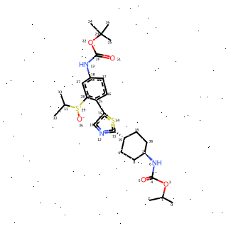 CC(C)OC(=O)N[C@H]1CC[C@H](c2ncc(-c3ccc(NC(=O)OC(C)(C)C)cc3[S+]([O-])C(C)C)s2)CC1